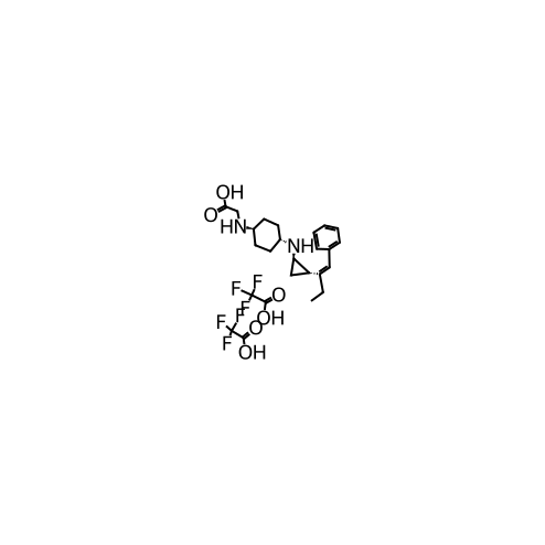 CCC(=Cc1ccccc1)[C@@H]1C[C@H]1N[C@H]1CC[C@H](NCC(=O)O)CC1.O=C(O)C(F)(F)F.O=C(O)C(F)(F)F